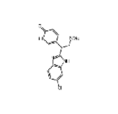 CNCC(c1ccc(=O)[nH]c1)c1nc2ccc(Cl)cc2[nH]1